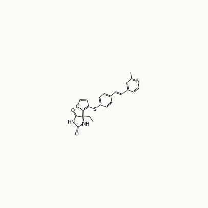 CCC1(c2occc2Sc2ccc(/C=C/c3ccnc(C)c3)cc2)NC(=O)NC1=O